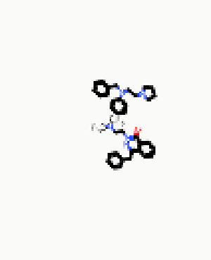 CN(C)CCn1nc(Cc2ccccc2)c2ccccc2c1=O.c1ccc(CN(CCN2CCCC2)c2ccccc2)cc1